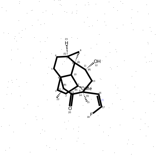 CO[C@@H]1CCC23CC[C@H]4C[C@@]4(C12)[C@H](O)C[C@@](C)(/C=C\F)C(=O)[C@@H]3C